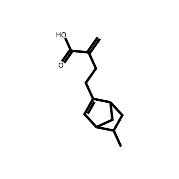 C=C(CCC1=CC2CC1CC2C)C(=O)O